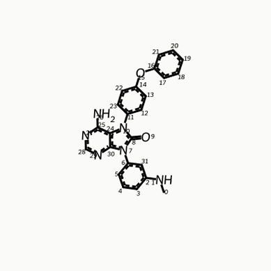 CNc1cccc(-n2c(=O)n(-c3ccc(Oc4ccccc4)cc3)c3c(N)ncnc32)c1